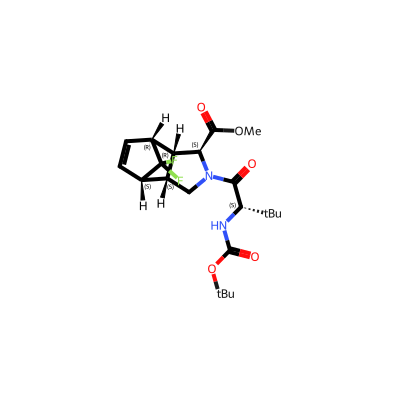 COC(=O)[C@@H]1[C@@H]2[C@H](CN1C(=O)[C@@H](NC(=O)OC(C)(C)C)C(C)(C)C)[C@@H]1C=C[C@H]2C1(F)F